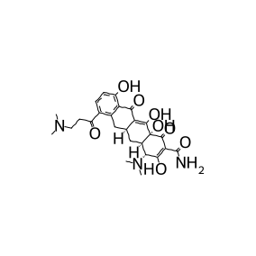 CN(C)CCC(=O)c1ccc(O)c2c1C[C@@H]1C[C@@H]3[C@@H](N(C)C)C(O)=C(C(N)=O)C(=O)[C@]3(O)C(O)=C1C2=O